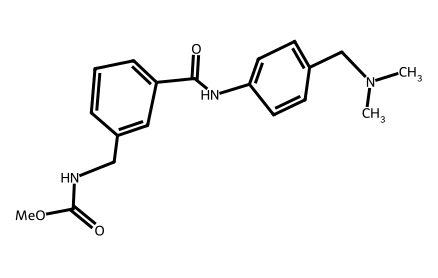 COC(=O)NCc1cccc(C(=O)Nc2ccc(CN(C)C)cc2)c1